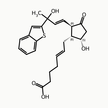 CC(O)(C=C[C@H]1C(=O)C[C@H](O)[C@@H]1CC=CCCCC(=O)O)c1cc2ccccc2s1